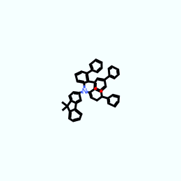 CC1(C)c2ccccc2-c2cc(N(C3=CCC(c4ccccc4)C=C3)c3cccc(-c4ccccc4)c3-c3cccc(-c4ccccc4)c3)ccc21